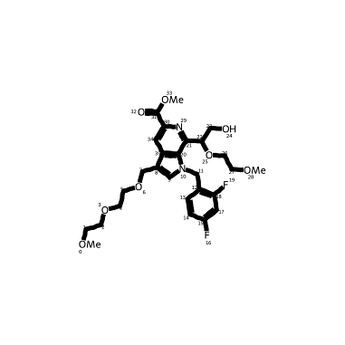 COCCOCCOCc1cn(Cc2ccc(F)cc2F)c2c(C(CO)OCCOC)nc(C(=O)OC)cc12